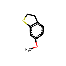 COc1ccc2c(c1)SCC2